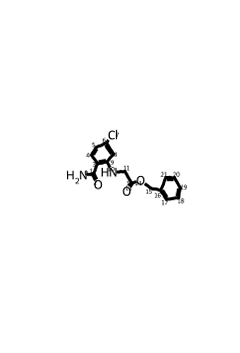 NC(=O)c1ccc(Cl)cc1NCC(=O)OCc1ccccc1